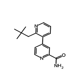 CC(C)(C)Cc1ncccc1-c1ccnc(C(N)=O)c1